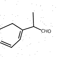 CC(C=O)C1=CC=CCC1